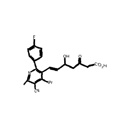 Cc1nc(-c2ccc(F)cc2)c(C=CC(O)CC(=O)CC(=O)O)c(C(C)C)c1C#N